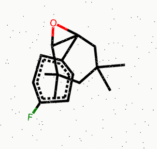 CC1(C)CC(C)(C)C2OC2(c2ccc(F)cc2)C1